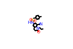 CCCN1C(=O)CCc2cc(NS(=O)(=O)Cc3ccc(C)cc3)cc(C#N)c21